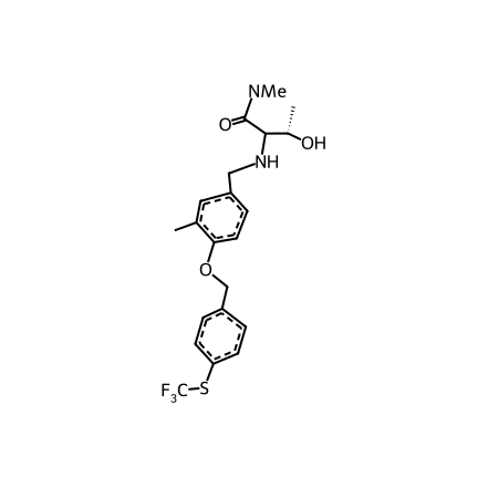 CNC(=O)C(NCc1ccc(OCc2ccc(SC(F)(F)F)cc2)c(C)c1)[C@H](C)O